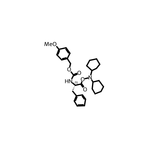 COc1ccc(COC(=O)N[C@@H](Cc2ccccc2)C(=O)ON(C2CCCCC2)C2CCCCC2)cc1